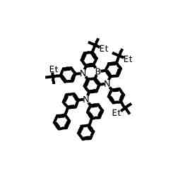 CCC(C)(C)c1ccc(N2c3ccc(C(C)(C)CC)cc3B3c4cc(C(C)(C)CC)ccc4N(c4ccc(C(C)(C)CC)cc4)c4cc(N(c5cccc(-c6ccccc6)c5)c5cccc(-c6ccccc6)c5)cc2c43)cc1